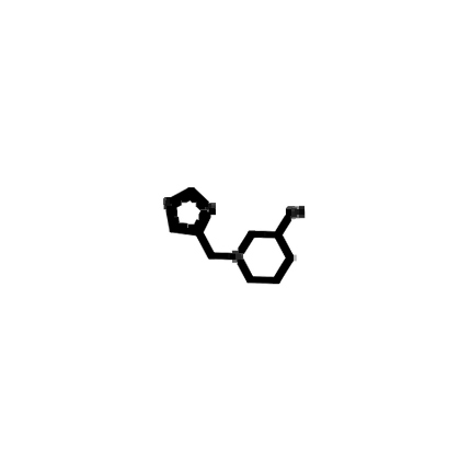 OC1[CH]CCN(Cc2cscn2)C1